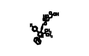 CC(C)c1nc(C23CC4CC(CC(C4)C2)C3)cc(-c2ccc(F)cc2)c1C#CCO[PH](=O)C[C@@H](O)CC(=O)O